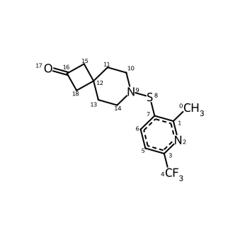 Cc1nc(C(F)(F)F)ccc1SN1CCC2(CC1)CC(=O)C2